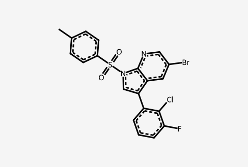 Cc1ccc(S(=O)(=O)n2cc(-c3cccc(F)c3Cl)c3cc(Br)cnc32)cc1